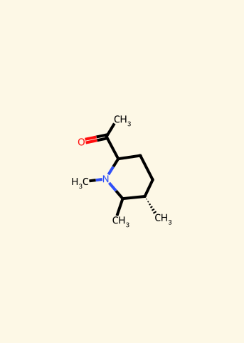 CC(=O)C1CC[C@H](C)C(C)N1C